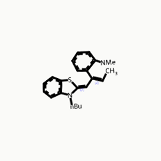 C/C=C(/C=C1\Sc2ccccc2N1CCCC)c1ccccc1NC